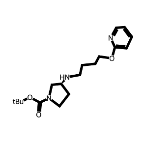 CC(C)(C)OC(=O)N1CC[C@H](NCCCCOc2ccccn2)C1